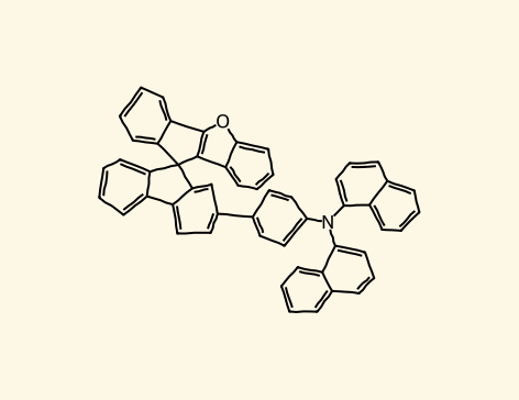 c1ccc2c(c1)-c1ccc(-c3ccc(N(c4cccc5ccccc45)c4cccc5ccccc45)cc3)cc1C21c2ccccc2-c2oc3ccccc3c21